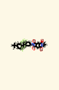 CC(C)(C)c1ccc(C(c2ccc(-n3c(=O)c4cc5c(=O)n(C(C)(C)C)c(=O)c5cc4c3=O)cc2)(C(F)(F)F)C(F)(F)F)cc1